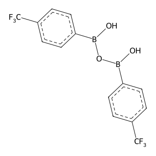 OB(OB(O)c1ccc(C(F)(F)F)cc1)c1ccc(C(F)(F)F)cc1